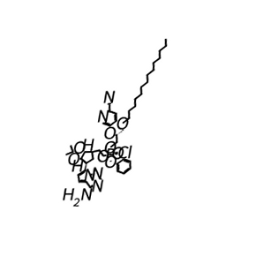 CCCCCCCCCCCCCCOC[C@H](COP(=O)(OC[C@@]1(C)C[C@@H](c2ccc3c(N)ncnn23)[C@@H]2OC(C)(C)O[C@@H]21)Oc1ccccc1Cl)Oc1ccc(C#N)nc1